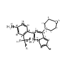 Cc1cc2c(N3CCOCC3)nc(-c3cnc(N)cc3C(F)(F)F)nn2c1